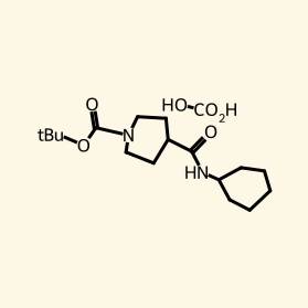 CC(C)(C)OC(=O)N1CCC(C(=O)NC2CCCCC2)CC1.O=C(O)O